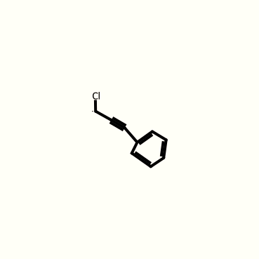 Cl[CH]C#Cc1ccccc1